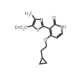 CCOC(=O)c1sc(-c2c(OCCC3CC3)cc[nH]c2=O)nc1C